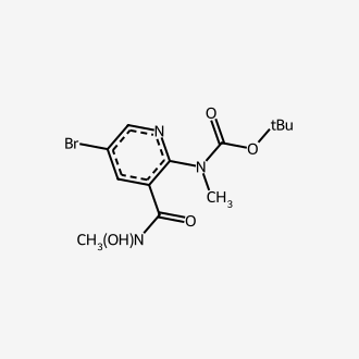 CN(O)C(=O)c1cc(Br)cnc1N(C)C(=O)OC(C)(C)C